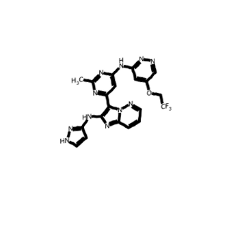 Cc1nc(Nc2cc(OCC(F)(F)F)cnn2)cc(-c2c(Nc3cc[nH]n3)nc3cccnn23)n1